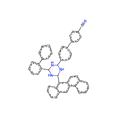 N#Cc1ccc(-c2ccc(C3NC(c4ccccc4-c4ccccc4)NC(c4c5ccccc5cc5c4ccc4ccccc45)N3)cc2)cc1